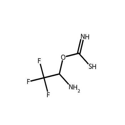 N=C(S)OC(N)C(F)(F)F